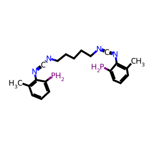 Cc1cccc(P)c1N=C=NCCCCCN=C=Nc1c(C)cccc1P